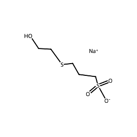 O=S(=O)([O-])CCCSCCO.[Na+]